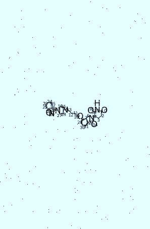 O=C1CCC(N2Cc3c(OCCCCN4CCN(C5=NOC6C=CC=CC56)CC4)cccc3C2=O)C(=O)N1